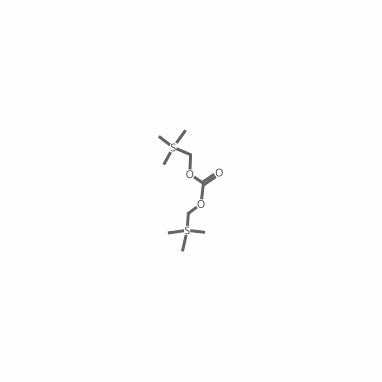 CS(C)(C)COC(=O)OCS(C)(C)C